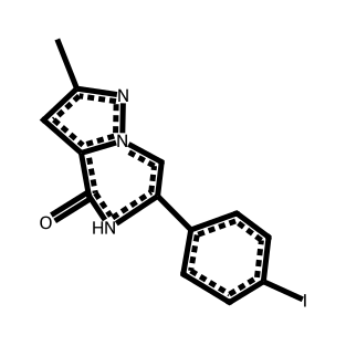 Cc1cc2c(=O)[nH]c(-c3ccc(I)cc3)cn2n1